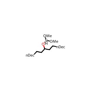 CCCCCCCCCCCCC(CCCCCCCCCCCC)O[SiH](OC)OC